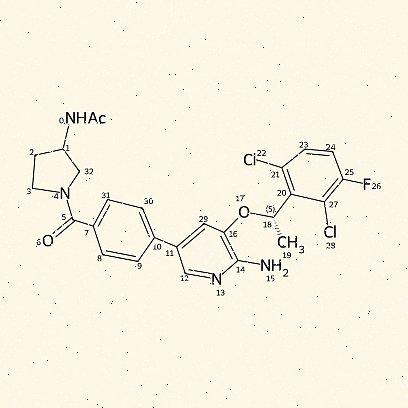 CC(=O)NC1CCN(C(=O)c2ccc(-c3cnc(N)c(O[C@@H](C)c4c(Cl)ccc(F)c4Cl)c3)cc2)C1